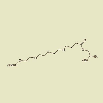 CCCCCOCCOCCOCCOCCCC(=O)OCC(CC)CCCC